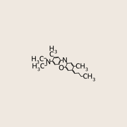 CCC/C=c1/cc2c(cc1C)=Nc1cc(C)c(N(CC)CC)cc1O2